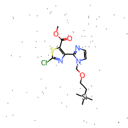 COC(=O)c1sc(Cl)nc1-c1nccn1COCC[Si](C)(C)C